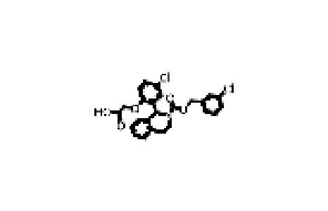 O=C(O)COc1ccc(Cl)cc1C1c2ccccc2CCN1C(=O)OCc1cccc(Cl)c1